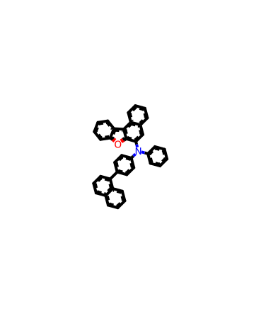 c1ccc(N(c2ccc(-c3cccc4ccccc34)cc2)c2cc3ccccc3c3c2oc2ccccc23)cc1